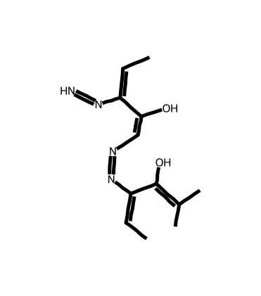 C/C=C(/N=N\C=C(O)/C(=C\C)N=N)C(O)=C(C)C